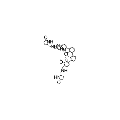 COc1nc(-c2cccc(-c3cccc(-c4ccc5nc(CNC[C@@H]6CCC(=O)N6)cn5n4)c3Cl)c2Cl)ccc1CNC[C@@H]1CCC(=O)N1